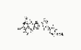 Cc1ccc([C@H]2C[C@H](c3noc(Cn4c(N)nc(=O)c5cccnc54)n3)CO2)cc1